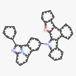 c1ccc(-c2nc3cccc4c5cc(-n6c7ccccc7c7c8ccccc8c8c9ccccc9oc8c76)ccc5c2n34)cc1